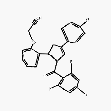 C#CCOc1ccccc1C1CC(c2ccc(Cl)cc2)=CC1C(=O)c1c(F)cc(F)cc1F